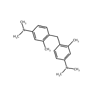 Cc1cc(N(C)C)ccc1Cc1ccc(N(C)C)cc1C